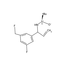 C=CC(N[S@+]([O-])C(C)(C)C)c1cc(F)cc(CF)c1